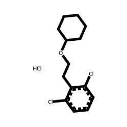 Cl.Clc1cccc(Cl)c1CCOC1CCCCC1